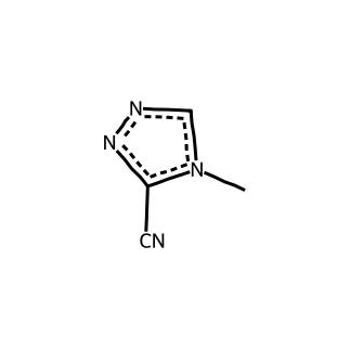 Cn1cnnc1C#N